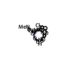 CN[C@@H]1CCN(C(=O)O[C@H]2/C=C/COC(C)(C)C(=O)NS(=O)(=O)c3ccc4c(c3)N(C[C@@H]3CC[C@H]32)C[C@@]2(CCCc3cc(Cl)ccc32)CO4)C1